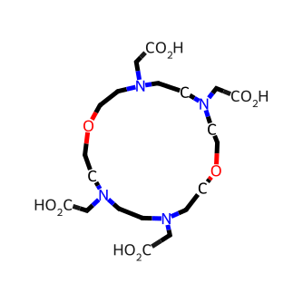 O=C(O)CN1CCOCCN(CC(=O)O)CCN(CC(=O)O)CCOCCN(CC(=O)O)CC1